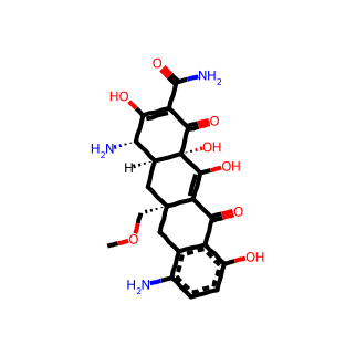 COC[C@@]12Cc3c(N)ccc(O)c3C(=O)C1=C(O)[C@]1(O)C(=O)C(C(N)=O)=C(O)[C@@H](N)[C@@H]1C2